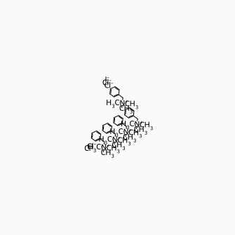 C[N+](C)(C)Cc1ccccc1.C[N+](C)(C)Cc1ccccc1.C[N+](C)(C)Cc1ccccc1.C[N+](C)(C)Cc1ccccc1.C[N+](C)(C)Cc1ccccc1.[Cl-].[Cl-].[Cl-].[Cl-].[I-]